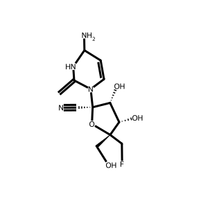 C=C1NC(N)C=CN1[C@]1(C#N)O[C@@](CO)(CF)[C@@H](O)[C@H]1O